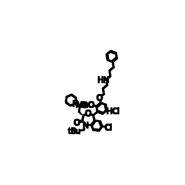 COc1c(OCCCNCCCc2ccccc2)cccc1[C@@H]1O[C@@H](CC(=O)N2CCCCC2)C(=O)N(CC(C)(C)C)c2ccc(Cl)cc21.Cl